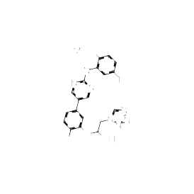 COc1ccc(F)cc1Nc1ncc(-c2ccc(Cl)c(OC(C)Cn3cnnn3)c2)cn1